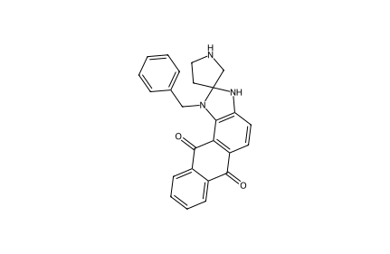 O=C1c2ccccc2C(=O)c2c1ccc1c2N(Cc2ccccc2)C2(CCNC2)N1